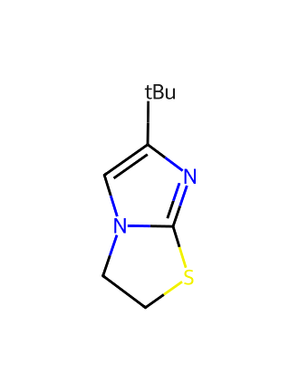 CC(C)(C)c1cn2c(n1)SCC2